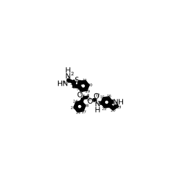 N=C(N)c1cc2c(OC(COC(=O)Nc3ccc4[nH]ccc4c3)c3ccccc3)cccc2s1